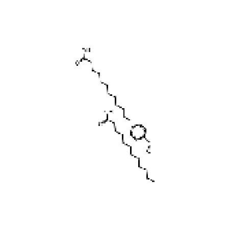 CCCCCCCCCCCC(=O)O.CCCCCCCCCCCC(=O)O.O=Ic1ccccc1